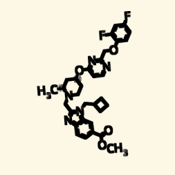 COC(=O)c1ccc2nc(CN3CC[C@H](Oc4ccnc(COc5ccc(F)cc5F)n4)C[C@@H]3C)n(CC3CCC3)c2c1